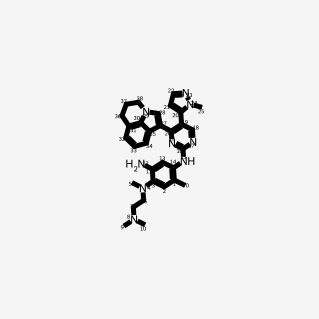 Cc1cc(N(C)CCN(C)C)c(N)cc1Nc1ncc(-c2ccnn2C)c(-c2cn3c4c(cccc24)CCC3)n1